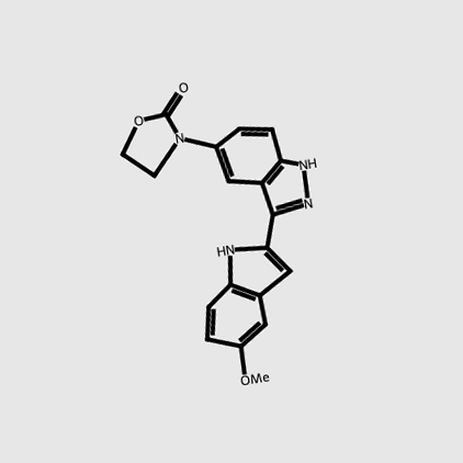 COc1ccc2[nH]c(-c3n[nH]c4ccc(N5CCOC5=O)cc34)cc2c1